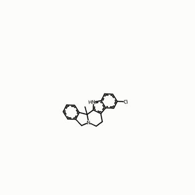 CC12c3ccccc3CN1CCc1c2[nH]c2ccc(Cl)cc12